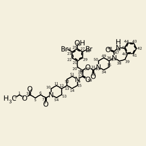 CCOC(=O)CCC(=O)N1CCC(C2CCN(C(=O)[C@@H](Cc3cc(Br)c(O)c(Br)c3)OC(=O)N3CCC(N4CCc5ccccc5NC4=O)CC3)CC2)CC1